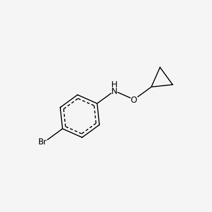 Brc1ccc(NOC2CC2)cc1